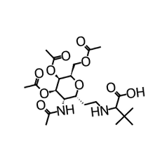 CC(=O)N[C@@H]1[C@@H](OC(C)=O)[C@@H](OC(C)=O)[C@@H](COC(C)=O)O[C@@H]1CCNC(C(=O)O)C(C)(C)C